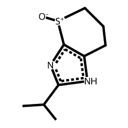 CC(C)c1nc2c([nH]1)CCC[S+]2[O-]